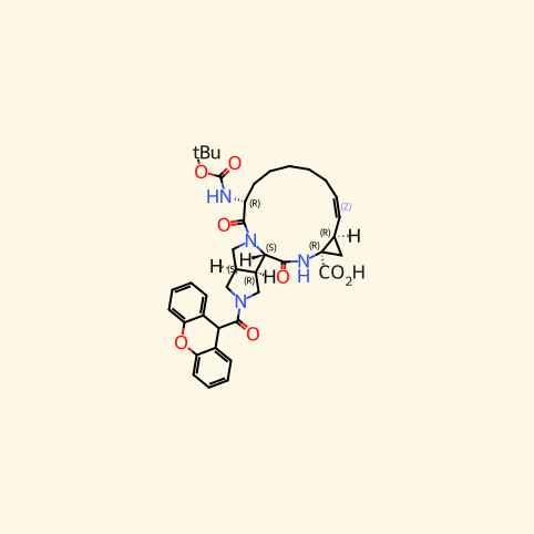 CC(C)(C)OC(=O)N[C@@H]1CCCCC/C=C\[C@H]2C[C@@]2(C(=O)O)NC(=O)[C@@H]2[C@H]3CN(C(=O)C4c5ccccc5Oc5ccccc54)C[C@H]3CN2C1=O